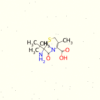 CC1=C(C(=O)O)N2C(=O)C(N)(C(C)(C)C)[C@@H]2SC1